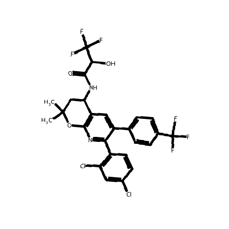 CC1(C)CC(NC(=O)C(O)C(F)(F)F)c2cc(-c3ccc(C(F)(F)F)cc3)c(-c3ccc(Cl)cc3Cl)nc2O1